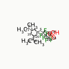 CC(C)c1cc(CC(F)(F)C(F)(F)C(F)(F)S(=O)(=O)O)cc(C(C)C)c1